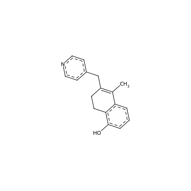 CC1=C(Cc2ccncc2)CCc2c(O)cccc21